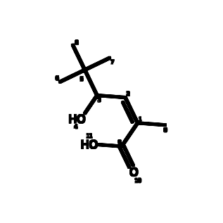 CC(=CC(O)C(C)(C)C)C(=O)O